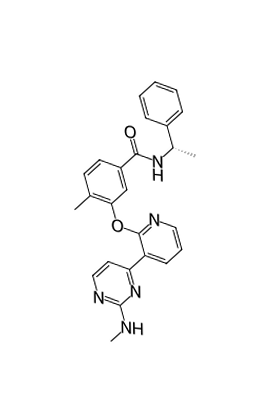 CNc1nccc(-c2cccnc2Oc2cc(C(=O)N[C@@H](C)c3ccccc3)ccc2C)n1